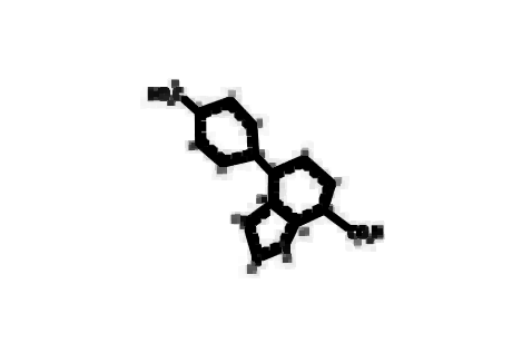 O=C(O)c1ccc(-c2ccc(C(=O)O)c3nsnc23)cc1